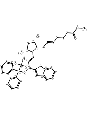 COC(=O)CCCC=CC[C@@H]1[C@@H](C=C[C@@H](O[Si](c2ccccc2)(c2ccccc2)C(C)(C)C)c2cc3ccccc3s2)[C@H](O)C[C@@H]1O